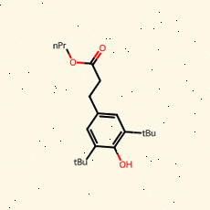 CCCOC(=O)CCc1cc(C(C)(C)C)c(O)c(C(C)(C)C)c1